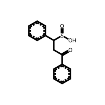 O=C(CC(c1ccccc1)S(=O)O)c1ccccc1